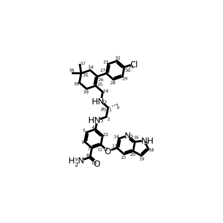 C[C@H](CNc1ccc(C(N)=O)c(Oc2cnc3[nH]ccc3c2)c1)NCC1=C(c2ccc(Cl)cc2)CC(C)(C)CC1